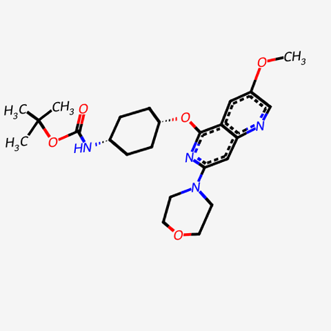 COc1cnc2cc(N3CCOCC3)nc(O[C@H]3CC[C@@H](NC(=O)OC(C)(C)C)CC3)c2c1